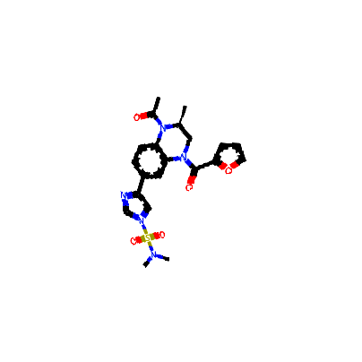 CC(=O)N1c2ccc(-c3cn(S(=O)(=O)N(C)C)cn3)cc2N(C(=O)c2ccco2)C[C@@H]1C